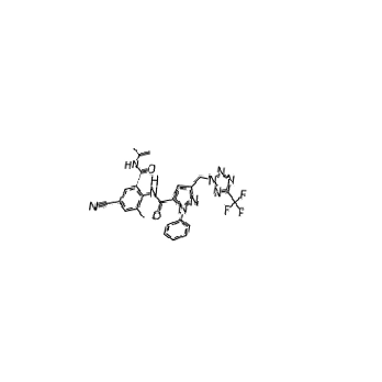 C=C(C)NC(=O)c1cc(C#N)cc(C)c1NC(=O)c1cc(Cn2nnc(C(F)(F)F)n2)nn1-c1ccccc1